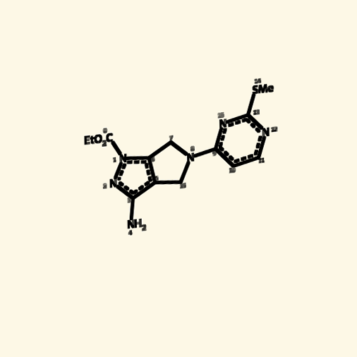 CCOC(=O)n1nc(N)c2c1CN(c1ccnc(SC)n1)C2